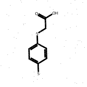 O=C(O)CSc1ccc([S])cc1